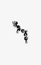 N#CCC1(n2cc(-c3ncnc4[nH]ccc34)cn2)CN(C2CCN(C(=O)C3CCN(c4ccc(C#N)cn4)CC3)CC2)C1